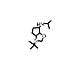 CC(C)NC1CCC2C1OCN2C(C)(C)C